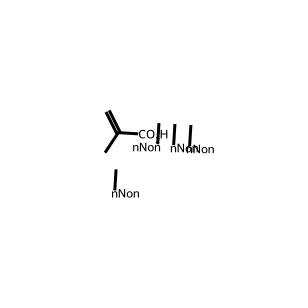 C=C(C)C(=O)O.CCCCCCCCCC.CCCCCCCCCC.CCCCCCCCCC.CCCCCCCCCC